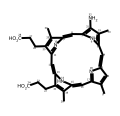 CC1=Cc2cc3[nH]c(cc4nc(cc5[nH]c(cc1n2)c(C)c5CCC(=O)O)C(CCC(=O)O)=C4C)c(N)c3C